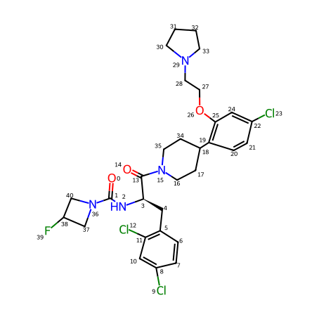 O=C(N[C@H](Cc1ccc(Cl)cc1Cl)C(=O)N1CCC(c2ccc(Cl)cc2OCCN2CCCC2)CC1)N1CC(F)C1